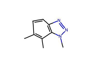 Cc1ccc2nnn(C)c2c1C